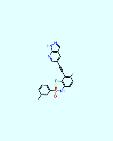 Cc1cccc(S(=O)(=O)Nc2ccc(F)c(C#Cc3cnc4[nH]ncc4c3)c2F)c1